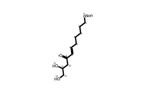 CCCCCCCCCCCCCCC=CC(=O)CC(O)CO